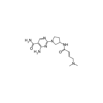 CN(C)CC=CC(=O)NC1CCN(c2ncc(C(N)=O)c(N)n2)C1